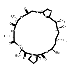 CC[C@H](C)[C@@H]1NC(=O)[C@H](C)NC(=O)[C@H](C)NC(=O)CC[C@H]2CSC(=N2)[C@@H](C)[C@@H](O)C[C@H](C)C[C@@H](C(C)(C)C)OC(=O)[C@@H]2CCCN2C1=O